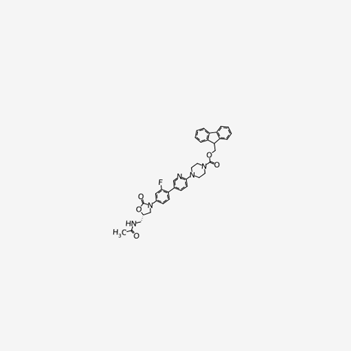 CC(=O)NC[C@H]1CN(c2ccc(-c3ccc(N4CCN(C(=O)OCC5c6ccccc6-c6ccccc65)CC4)nc3)c(F)c2)C(=O)O1